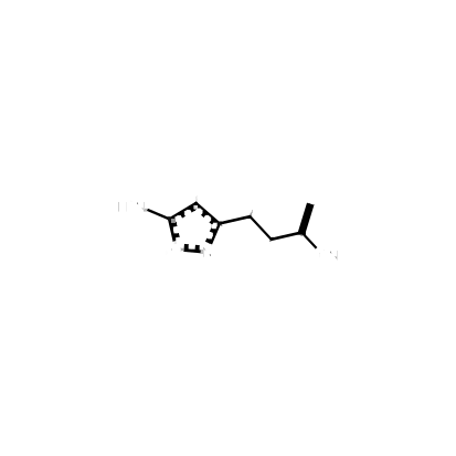 C=C(C#N)CCc1cc(N)on1